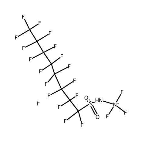 O=S(=O)(N[N+](F)(F)F)C(F)(F)C(F)(F)C(F)(F)C(F)(F)C(F)(F)C(F)(F)C(F)(F)C(F)(F)F.[I-]